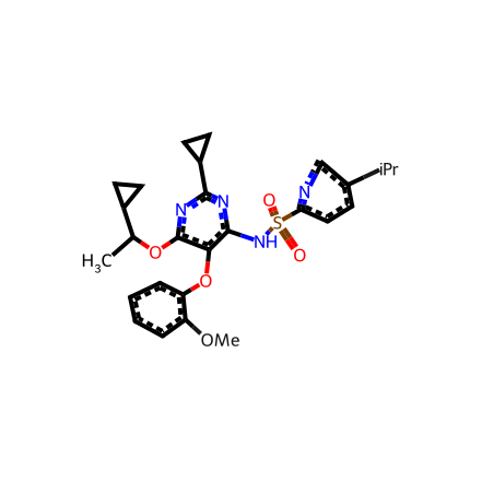 COc1ccccc1Oc1c(NS(=O)(=O)c2ccc(C(C)C)cn2)nc(C2CC2)nc1OC(C)C1CC1